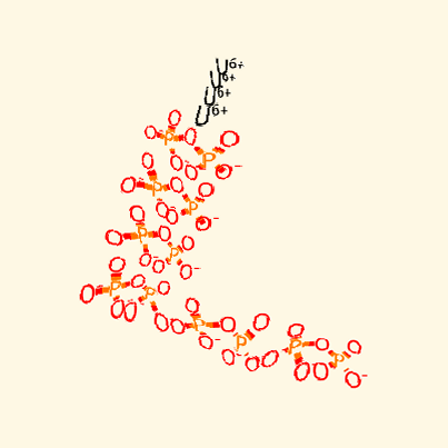 O=P([O-])([O-])OP(=O)([O-])[O-].O=P([O-])([O-])OP(=O)([O-])[O-].O=P([O-])([O-])OP(=O)([O-])[O-].O=P([O-])([O-])OP(=O)([O-])[O-].O=P([O-])([O-])OP(=O)([O-])[O-].O=P([O-])([O-])OP(=O)([O-])[O-].[U+6].[U+6].[U+6].[U+6]